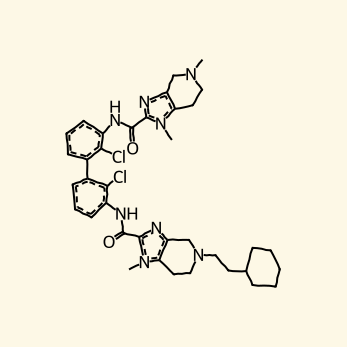 CN1CCc2c(nc(C(=O)Nc3cccc(-c4cccc(NC(=O)c5nc6c(n5C)CCN(CCC5CCCCC5)C6)c4Cl)c3Cl)n2C)C1